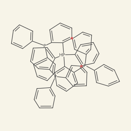 c1ccc(P(c2ccccc2)c2ccccc2[PH](c2ccccc2)(c2ccccc2P(c2ccccc2)c2ccccc2)c2ccccc2P(c2ccccc2)c2ccccc2)cc1